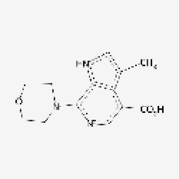 Cc1c[nH]c2c(N3CCOCC3)ncc(C(=O)O)c12